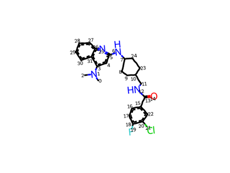 CN(C)c1cc(NC2CCC(CNC(=O)c3ccc(F)c(Cl)c3)CC2)nc2ccccc12